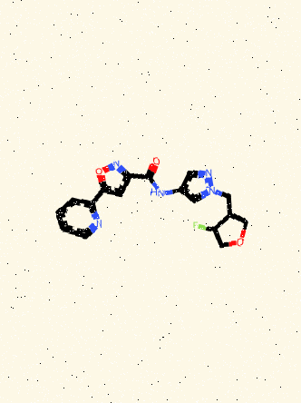 O=C(Nc1cnn(CC2COCC2F)c1)c1cc(-c2ccccn2)on1